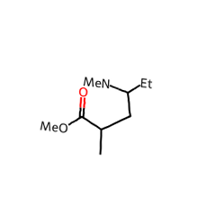 CCC(CC(C)C(=O)OC)NC